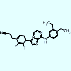 CCc1ccc(Nc2nccn3c(C4CC=C(CCC#N)C(F)=C4F)cnc23)cc1CC